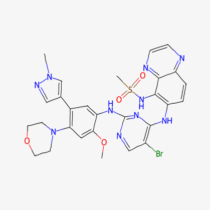 COc1cc(N2CCOCC2)c(-c2cnn(C)c2)cc1Nc1ncc(Br)c(Nc2ccc3nccnc3c2NS(C)(=O)=O)n1